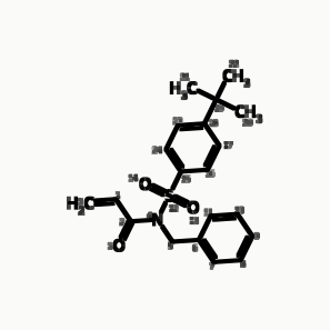 C=CC(=O)N(Cc1ccccc1)S(=O)(=O)c1ccc(C(C)(C)C)cc1